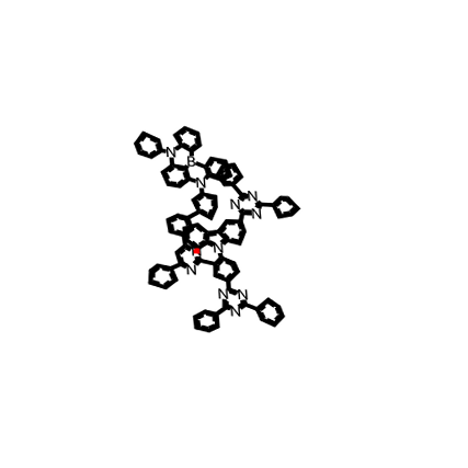 c1ccc(-c2cc(-c3cccc(-c4cccc(N5c6ccccc6B6c7ccccc7N(c7ccccc7)c7cccc5c76)c4)c3)nc(-c3cc(-c4nc(-c5ccccc5)nc(-c5ccccc5)n4)ccc3-n3c4ccccc4c4cc(-c5nc(-c6ccccc6)nc(-c6ccccc6)n5)ccc43)n2)cc1